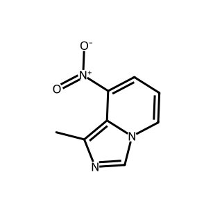 Cc1ncn2cccc([N+](=O)[O-])c12